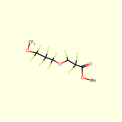 CC(C)(C)OC(=O)C(F)(F)C(F)OC(F)(F)C(F)(F)C(F)(F)OC(F)(F)F